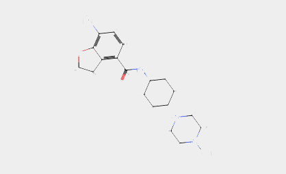 CN1CCN([C@H]2CC[C@H](NC(=O)c3ccc(N)c4c3CCO4)CC2)CC1